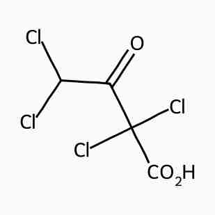 O=C(O)C(Cl)(Cl)C(=O)C(Cl)Cl